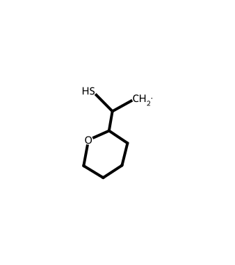 [CH2]C(S)C1CCCCO1